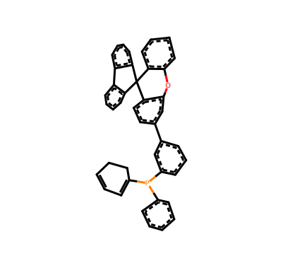 C1=CCCC(P(c2ccccc2)c2cccc(-c3ccc4c(c3)Oc3ccccc3C43c4ccccc4-c4ccccc43)c2)=C1